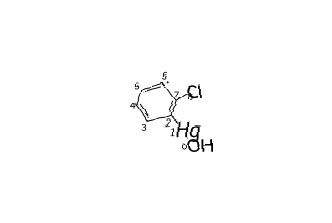 [OH][Hg][c]1ccc[c]c1Cl